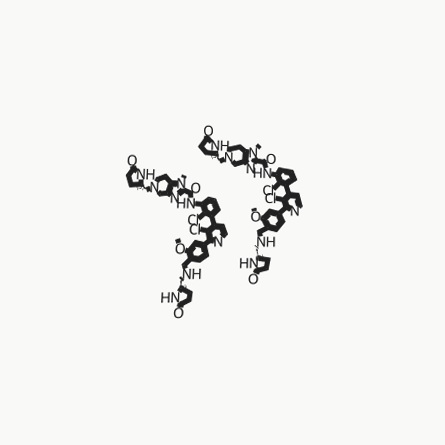 COc1cc(-c2nccc(-c3cccc(NC(=O)c4nc5c(n4C)CCN(C[C@@H]4CCC(=O)N4)C5)c3Cl)c2Cl)ccc1CNC[C@@H]1CCC(=O)N1.COc1cc(-c2nccc(-c3cccc(NC(=O)c4nc5c(n4C)CCN(C[C@@H]4CCC(=O)N4)C5)c3Cl)c2Cl)ccc1CNC[C@@H]1CCC(=O)N1